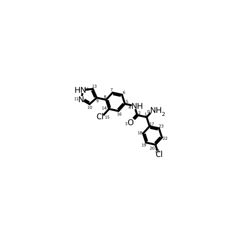 NC(C(=O)Nc1ccc(-c2cn[nH]c2)c(Cl)c1)c1ccc(Cl)cc1